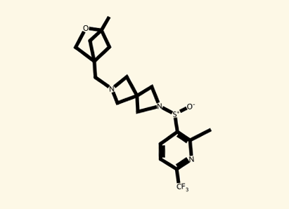 Cc1nc(C(F)(F)F)ccc1[S+]([O-])N1CC2(CN(CC34COC(C)(C3)C4)C2)C1